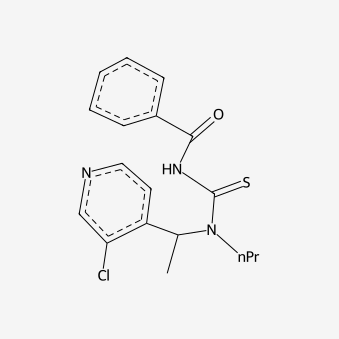 CCCN(C(=S)NC(=O)c1ccccc1)C(C)c1ccncc1Cl